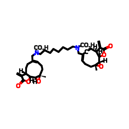 C=C1C(=O)O[C@H]2[C@H]1CC/C(CN(CCCCCCCCN(C/C1=C/CC[C@@]3(C)O[C@H]3[C@H]3OC(=O)C(=C)[C@@H]3CC1)C(=O)O)C(=O)O)=C\CC[C@@]1(C)O[C@@H]21